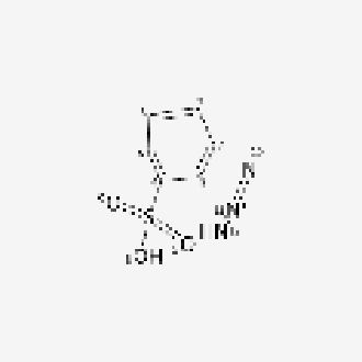 O=S(=O)(O)c1ccccc1.[N-]=[N+]=N